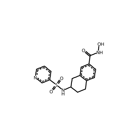 O=C(NO)c1ccc2c(c1)CC(NS(=O)(=O)c1cccnc1)CC2